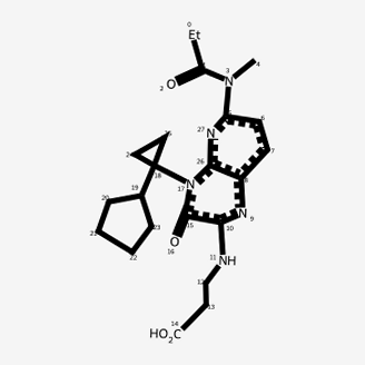 CCC(=O)N(C)c1ccc2nc(NCCC(=O)O)c(=O)n(C3(C4CCCC4)CC3)c2n1